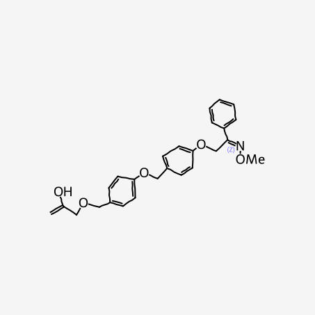 C=C(O)COCc1ccc(OCc2ccc(OC/C(=N\OC)c3ccccc3)cc2)cc1